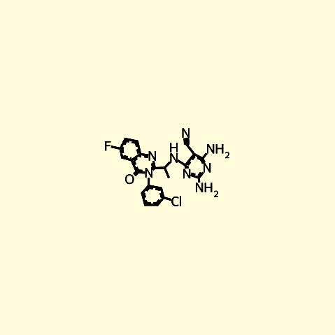 CC(Nc1nc(N)nc(N)c1C#N)c1nc2ccc(F)cc2c(=O)n1-c1cccc(Cl)c1